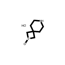 Cl.[O-][S+]1CC2(CCNCC2)C1